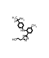 Cc1ccc(-c2nnn(CCO)n2)c(Nc2ccc(C(C)(F)P)cc2)c1